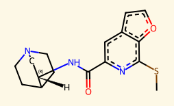 CSc1nc(C(=O)N[C@H]2CN3CCC2CC3)cc2ccoc12